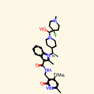 COc1cc(C)[nH]c(=O)c1CNC(=O)c1c(C)n([C@H](C)C2CCN(C(O)C3(F)CCN(C)CC3)CC2)c2ccccc12